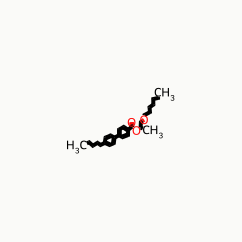 CCCCCCCOCC(C)OC(=O)c1ccc(-c2ccc(CCCCC)cc2)cc1